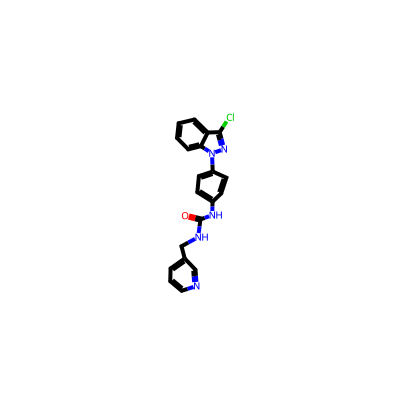 O=C(NCc1cccnc1)Nc1ccc(-n2nc(Cl)c3ccccc32)cc1